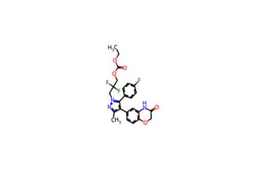 CCOC(=O)OCC(F)(F)Cn1nc(C)c(-c2ccc3c(c2)NC(=O)CO3)c1-c1ccc(F)cc1